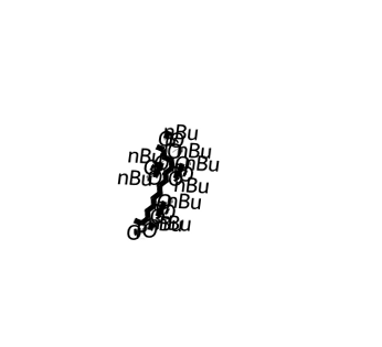 CCCCOP(C)(=O)C(C)CCC(CCCCC(C(CCC(C)P(=O)(OCCCC)OCCCC)P(=O)(OCCCC)OCCCC)P(=O)(OCCCC)OCCCC)P(=O)(OCCCC)OCCCC